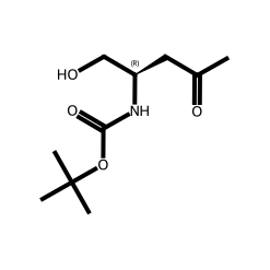 CC(=O)C[C@H](CO)NC(=O)OC(C)(C)C